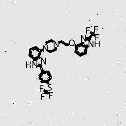 FC(F)(F)Sc1ccc(-c2nc3c(N4CCN(CCOc5cccc6[nH]c(C(F)(F)F)nc56)CC4)cccc3[nH]2)cc1